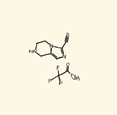 N#Cc1ncc2n1CCNC2.O=C(O)C(F)(F)F